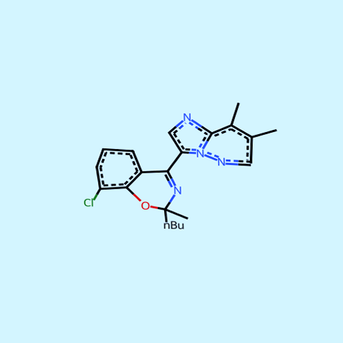 CCCCC1(C)N=C(c2cnc3c(C)c(C)cnn23)c2cccc(Cl)c2O1